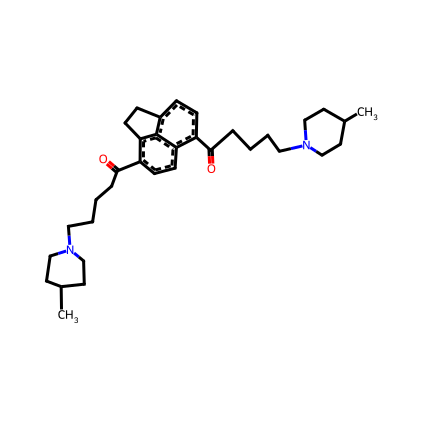 CC1CCN(CCCCC(=O)c2ccc3c(C(=O)CCCCN4CCC(C)CC4)ccc4c3c2CC4)CC1